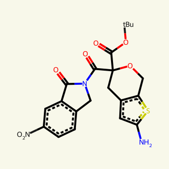 CC(C)(C)OC(=O)C1(C(=O)N2Cc3ccc([N+](=O)[O-])cc3C2=O)Cc2cc(N)sc2CO1